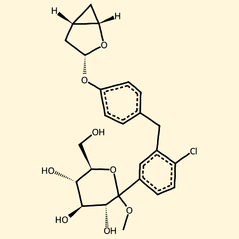 COC1(c2ccc(Cl)c(Cc3ccc(O[C@@H]4C[C@@H]5C[C@@H]5O4)cc3)c2)O[C@H](CO)[C@@H](O)[C@H](O)[C@H]1O